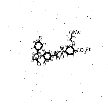 CCOC(=O)c1ccc(S(=O)(=O)NC(=O)c2ccc(N3C(=O)CSC3c3ccc(F)cc3)c(C)c2)cc1OCCOC